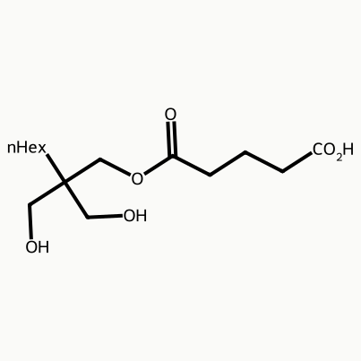 CCCCCCC(CO)(CO)COC(=O)CCCC(=O)O